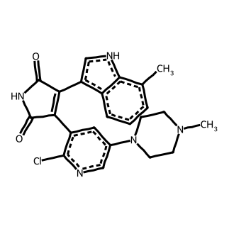 Cc1cccc2c(C3=C(c4cc(N5CCN(C)CC5)cnc4Cl)C(=O)NC3=O)c[nH]c12